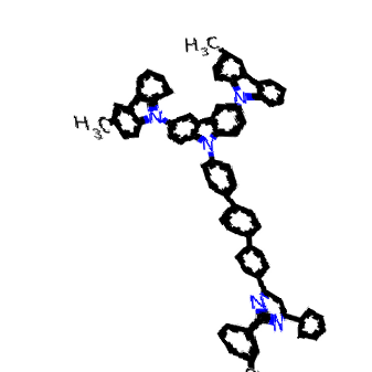 Cc1cccc(-c2nc(-c3ccccc3)cc(-c3ccc(-c4ccc(-c5ccc(-n6c7ccc(-n8c9ccccc9c9cc(C)ccc98)cc7c7cc(-n8c9ccccc9c9cc(C)ccc98)ccc76)cc5)cc4)cc3)n2)c1